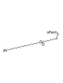 CCCCC/C=C\C/C=C\CCCCCCCC(=O)OCCCCCCCCCCCCCCCCCCCCC(C)C